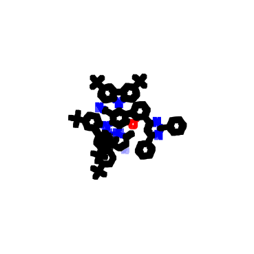 C=C(/C=C\C(C)([C@H]1C=CC(C(C)(C)C)=CC1)C(C)(C)C)Nc1c(-n2c3ccc(C(C)(C)C)cc3c3cc(C(C)(C)C)ccc32)c(C#N)c(-n2c3ccc(C(C)(C)C)cc3c3cc(C(C)(C)C)ccc32)c2c1oc1c(-c3cc(-c4ccccc4)nc(-c4ccccc4)n3)cccc12